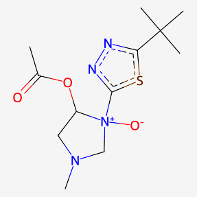 CC(=O)OC1CN(C)C[N+]1([O-])c1nnc(C(C)(C)C)s1